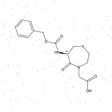 O=C(O)CN1CCSC[C@H](NC(=O)OCc2ccccc2)C1=O